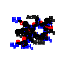 CC(=O)NCCCC[C@@H]1NC(=O)[C@H](Cc2c[nH]c3c(C)cccc23)NC(=O)[C@H]([C@@H](C)O)NC(=O)[C@H](CC(N)=O)NC(=O)[C@@H](NC(C)=O)C(C)(C)SSC(C)(C)[C@@H](C(=O)N[C@@H](Cc2ccc(OCCN)cc2)C(=O)N[C@@H](Cc2ccc3ccccc3c2)C(=O)N[C@@](C)(CCCCN)C(=O)N[C@@H](CCCCNC(C)=O)C(=O)N[C@@H](CC(N)=O)C(=O)NCCC(N)=O)NC1=O